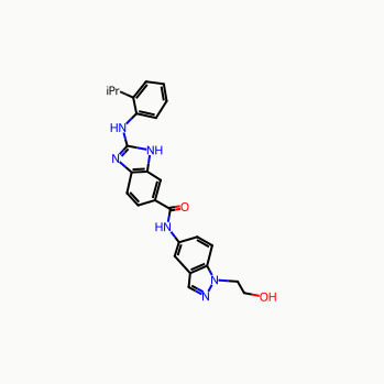 CC(C)c1ccccc1Nc1nc2ccc(C(=O)Nc3ccc4c(cnn4CCO)c3)cc2[nH]1